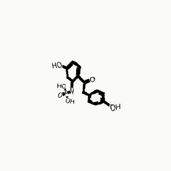 O=C(Cc1ccc(O)cc1)C1=CC=C(O)CC1=NP(=O)(O)O